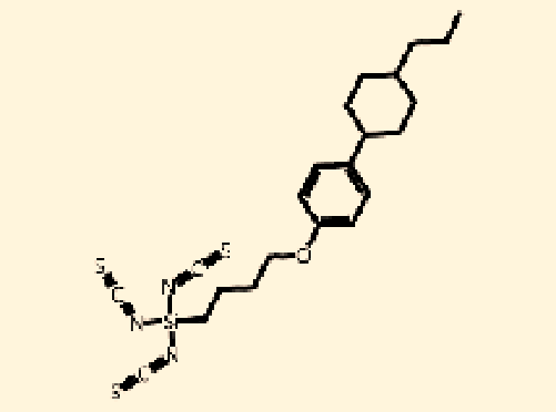 CCCC1CCC(c2ccc(OCCCC[Si](N=C=S)(N=C=S)N=C=S)cc2)CC1